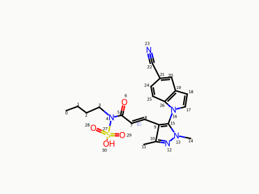 CCCCN(C(=O)/C=C/c1c(C)nn(C)c1-n1ccc2cc(C#N)ccc21)S(=O)(=O)O